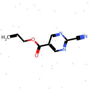 C=CCOC(=O)c1cnc(C#N)nc1